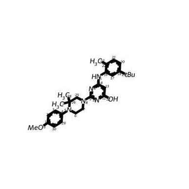 COc1ccc(N2CCN(c3nc(O)cc(Nc4cc(C(C)(C)C)ccc4C)n3)CC2(C)C)cc1